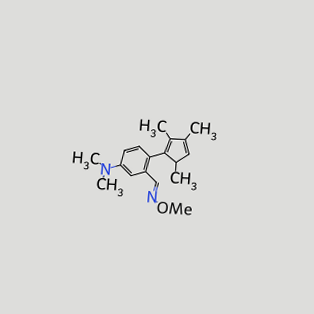 CON=Cc1cc(N(C)C)ccc1C1=C(C)C(C)=CC1C